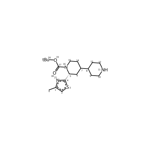 Cc1csc([C@H]2CC(C3CCNCC3)CCN2C(=O)OC(C)(C)C)n1